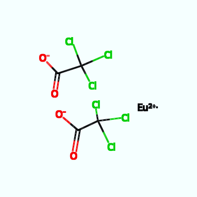 O=C([O-])C(Cl)(Cl)Cl.O=C([O-])C(Cl)(Cl)Cl.[Eu+2]